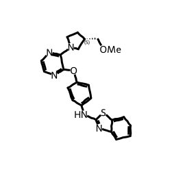 COC[C@H]1CCN(c2nccnc2Oc2ccc(Nc3nc4ccccc4s3)cc2)C1